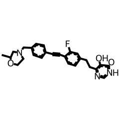 CC1CN(Cc2ccc(C#Cc3ccc(CCc4nc[nH]c(=O)c4O)cc3F)cc2)CCO1